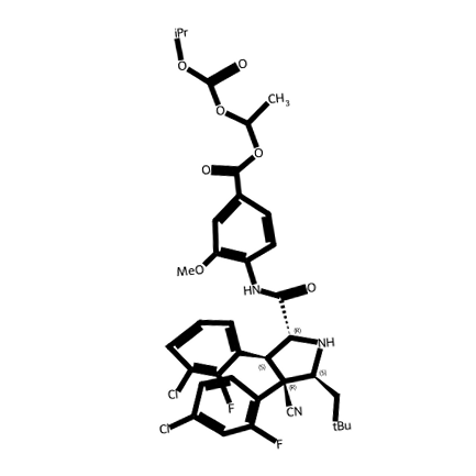 COc1cc(C(=O)OC(C)OC(=O)OC(C)C)ccc1NC(=O)[C@@H]1N[C@@H](CC(C)(C)C)[C@](C#N)(c2ccc(Cl)cc2F)[C@H]1c1cccc(Cl)c1F